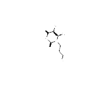 Nc1c(N)n(CCCO)c(=O)[nH]c1=O